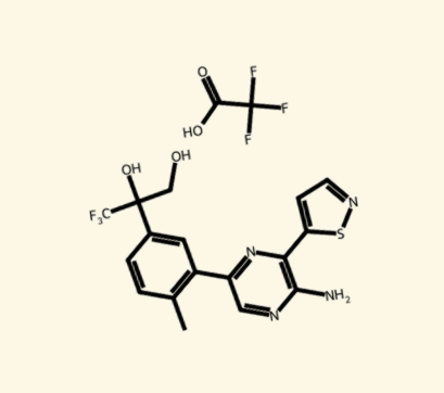 Cc1ccc(C(O)(CO)C(F)(F)F)cc1-c1cnc(N)c(-c2ccns2)n1.O=C(O)C(F)(F)F